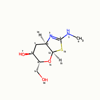 CNC1=N[C@@H]2C[C@H](O)[C@@H](CO)O[C@@H]2S1